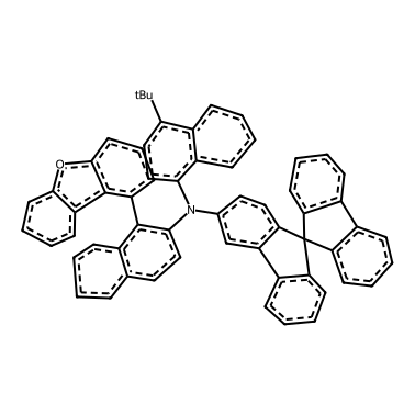 CC(C)(C)c1ccc(N(c2ccc3c(c2)-c2ccccc2C32c3ccccc3-c3ccccc32)c2ccc3ccccc3c2-c2cccc3oc4ccccc4c23)c2ccccc12